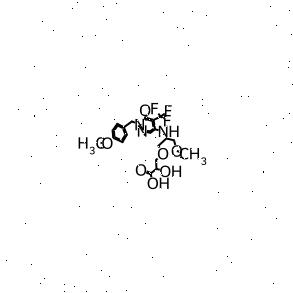 COCC(COCC(O)C(=O)O)Nc1cnn(Cc2ccc(OC)cc2)c(=O)c1C(F)(F)F